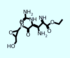 CCOC(=O)C(=N)/C(N)=C(\NC(N)=O)C(=O)NC1OC1CO